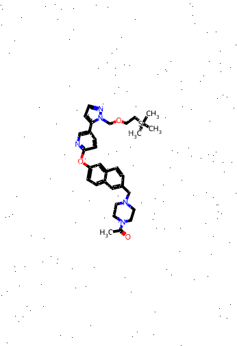 CC(=O)N1CCN(Cc2ccc3cc(Oc4ccc(-c5ccnn5COCC[Si](C)(C)C)cn4)ccc3c2)CC1